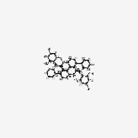 Cc1cc(C)c(B2c3ccccc3-c3ccc4cc5c6c(ccc7cc2c3c4c76)-c2ccccc2B5c2c(C)cc(C)cc2C)c(C)c1